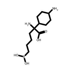 NC1CCC(C(N)(CCCCB(O)O)C(=O)O)CC1